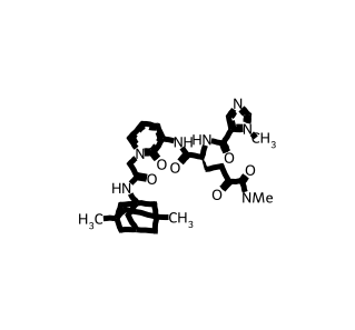 CNC(=O)C(=O)CC[C@H](NC(=O)c1cncn1C)C(=O)Nc1cccn(CC(=O)NC23CC4CC(C)(CC(C)(C4)C2)C3)c1=O